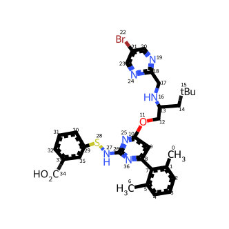 Cc1cccc(C)c1-c1cc(OCC(CC(C)(C)C)NCc2ncc(Br)cn2)nc(NSc2cccc(C(=O)O)c2)n1